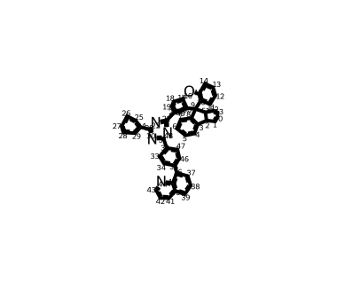 C1=CC2c3ccccc3C3(c4ccccc4Oc4ccc(-c5nc(-c6ccccc6)nc(-c6ccc(-c7cccc8cccnc78)cc6)n5)cc43)C2C=C1